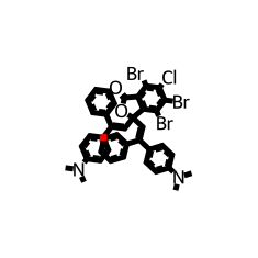 CN(C)c1ccc(C(=CC2(C=C(c3ccccc3)c3ccc(N(C)C)cc3)OC(=O)c3c(Br)c(Cl)c(Br)c(Br)c32)c2ccccc2)cc1